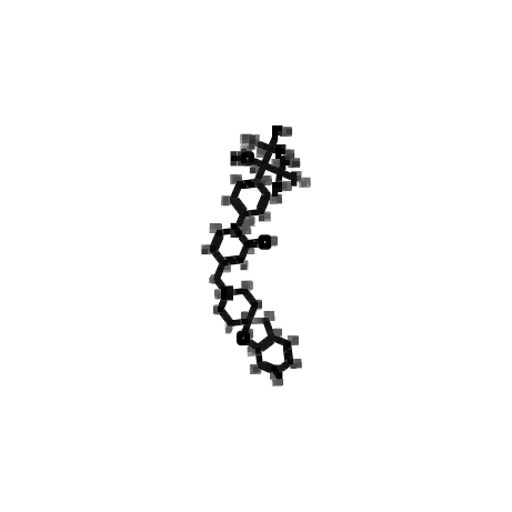 O=c1cc(CN2CCC3(CC2)Cc2ccncc2O3)ccn1-c1ccc(C(O)(C(F)(F)F)C(F)(F)F)cc1